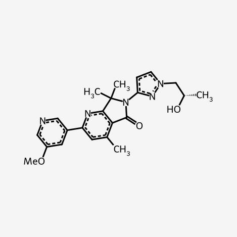 COc1cncc(-c2cc(C)c3c(n2)C(C)(C)N(c2ccn(C[C@H](C)O)n2)C3=O)c1